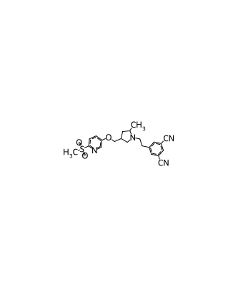 CC1CC(COc2ccc(S(C)(=O)=O)nc2)CN1CCc1cc(C#N)cc(C#N)c1